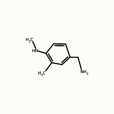 CNc1ccc(CN)cc1C